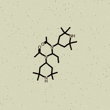 CCC(N(C(C)=O)C1CC(C)(C)NC(C)(C)C1)N(C(C)=O)C1CC(C)(C)NC(C)(C)C1